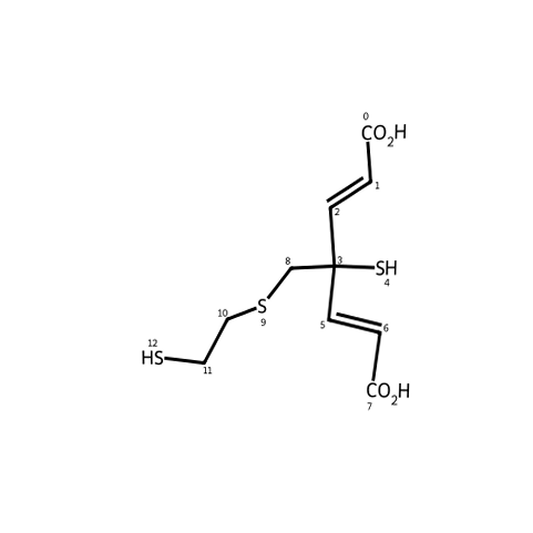 O=C(O)C=CC(S)(C=CC(=O)O)CSCCS